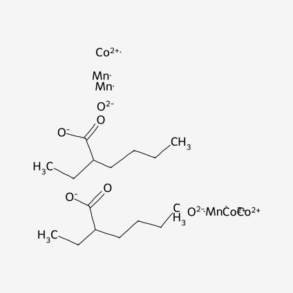 CCCCC(CC)C(=O)[O-].CCCCC(CC)C(=O)[O-].[Co+2].[Co+2].[Co+2].[Mn].[Mn].[Mn].[O-2].[O-2]